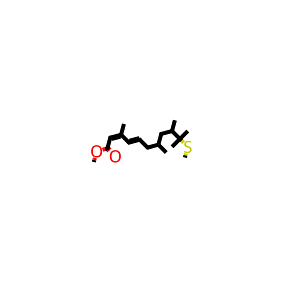 COC(=O)C=C(C)C=CCC(C)CC(C)C(C)(C)SC